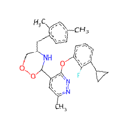 Cc1ccc(CC2COOC(c3cc(C)nnc3Oc3cccc(C4CC4)c3F)N2)c(C)c1